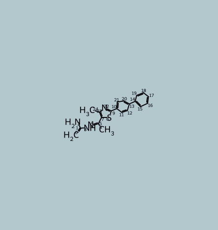 C=C(N)N/N=C(\C)c1sc(-c2ccc(-c3ccccc3)cc2)nc1C